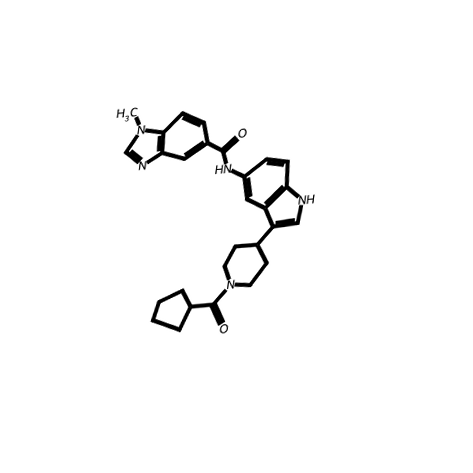 Cn1cnc2cc(C(=O)Nc3ccc4[nH]cc(C5CCN(C(=O)C6CCCC6)CC5)c4c3)ccc21